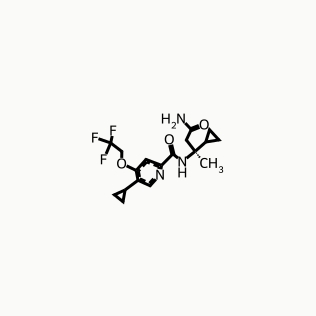 C[C@@](CC(N)=O)(NC(=O)c1cc(OCC(F)(F)F)c(C2CC2)cn1)C1CC1